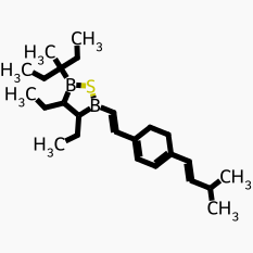 CCC1B(/C=C/C2=CC=C(/C=C/C(C)C)CC2)SB(C(C)(CC)CC)C1CC